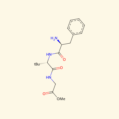 COC(=O)CNC(=O)[C@@H](NC(=O)[C@@H](N)Cc1ccccc1)C(C)(C)C